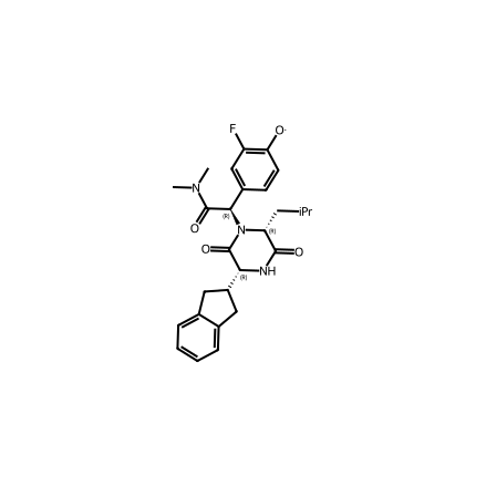 CC(C)C[C@@H]1C(=O)N[C@H](C2Cc3ccccc3C2)C(=O)N1[C@@H](C(=O)N(C)C)c1ccc([O])c(F)c1